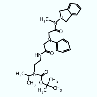 CC(C)N(CCNC(=O)CN(CC(=O)N(C)N1Cc2ccccc2C1)c1ccccc1)C(=O)OC(C)(C)C